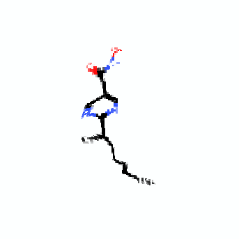 CCC(CCCCOC)c1ncc(C(=O)NO)cn1